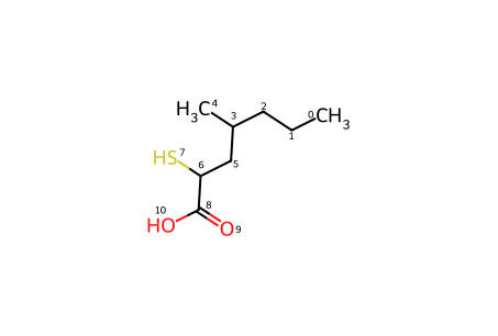 CCCC(C)CC(S)C(=O)O